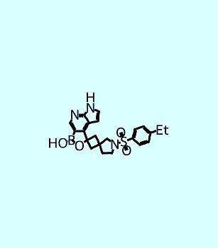 CCc1ccc(S(=O)(=O)N2CCC3(C2)CC2(C3)OB(O)c3cnc4[nH]ccc4c32)cc1